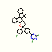 CC1(C)c2ccccc2-c2c1c1c(c3ccccc23)OC(c2ccc(F)cc2)(c2ccc(-c3nc(F)nc(F)n3)cc2)C=C1